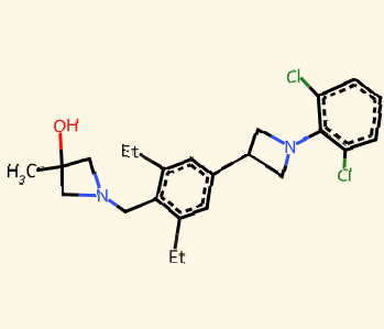 CCc1cc(C2CN(c3c(Cl)cccc3Cl)C2)cc(CC)c1CN1CC(C)(O)C1